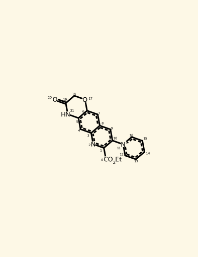 CCOC(=O)c1nc2cc3c(cc2cc1-[n+]1ccccc1)OCC(=O)N3